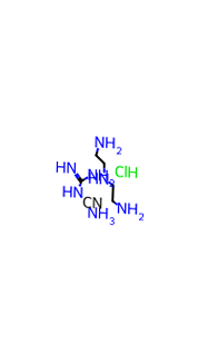 Cl.N.N#CNC(=N)N.NCCNCCN